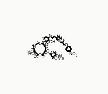 CC[C@H]1OC(=O)[C@H](C)[C@@H](OC[C@H]2C[C@@](C)(OC)[C@@H](O)[C@H](C)O2)[C@H](C)[C@@H](O[C@@H]2O[C@H](C)C[C@H](N(C)CCc3cn(C[C@H](F)COc4ccc([N+](=O)[O-])cc4)nn3)[C@H]2O)[C@](C)(O)C[C@@H](C)CN(C)[C@H](C)[C@@H](O)[C@]1(C)O